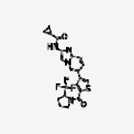 O=C(Nc1cn2cc(-c3csc(C(=O)N4CCCC4C(F)(F)F)c3)ccc2n1)C1CC1